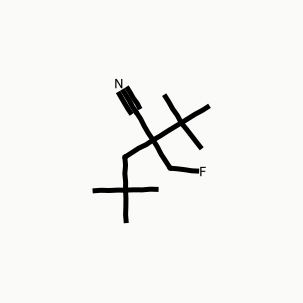 CC(C)(C)CC(C#N)(CF)C(C)(C)C